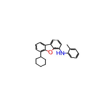 Cc1ccccc1Nc1cccc2c1oc1c(C3CCCCC3)cccc12